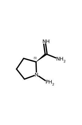 N=C(N)[C@@H]1CCCN1P